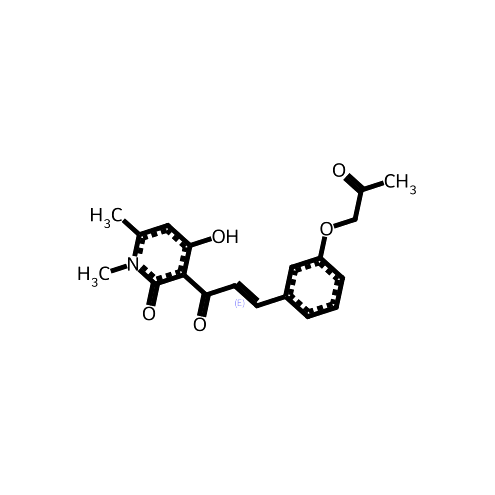 CC(=O)COc1cccc(/C=C/C(=O)c2c(O)cc(C)n(C)c2=O)c1